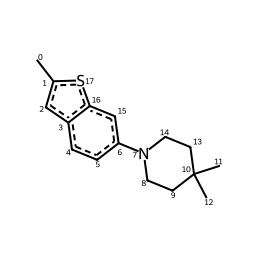 Cc1cc2ccc(N3CCC(C)(C)CC3)cc2s1